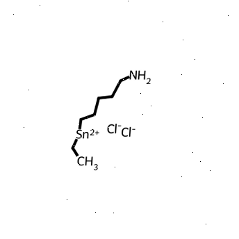 C[CH2][Sn+2][CH2]CCCCN.[Cl-].[Cl-]